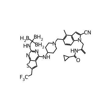 BC(B)(B)Nc1nc(NC2CCN(Cc3ccc4c(cc(C#N)n4CC(=C)NC(=O)C4CC4)c3C)CC2)c2cc(CC(F)(F)F)sc2n1